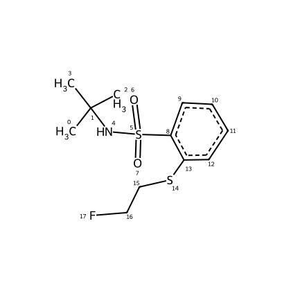 CC(C)(C)NS(=O)(=O)c1ccccc1SCCF